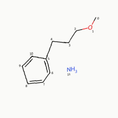 COCCCc1ccccc1.N